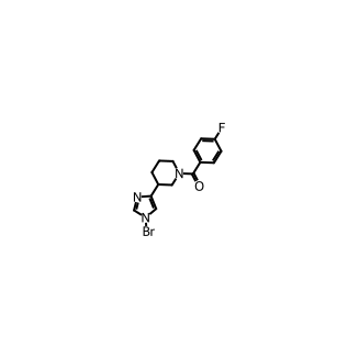 O=C(c1ccc(F)cc1)N1CCCC(c2cn(Br)cn2)C1